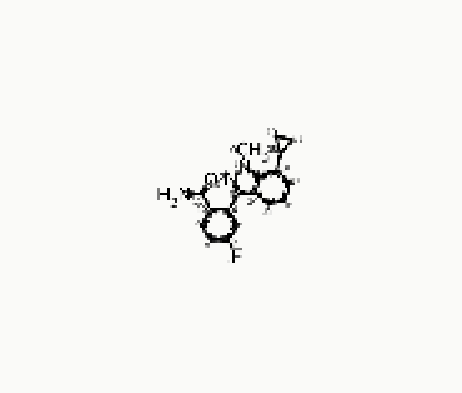 Cn1nc(-c2cc(F)ccc2C(N)=O)c2cccc(C3CC3)c21